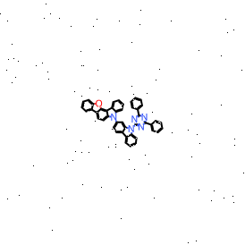 c1ccc(-c2nc(-c3ccccc3)nc(-n3c4ccccc4c4ccc(-n5c6ccccc6c6c7oc8ccccc8c7ccc65)cc43)n2)cc1